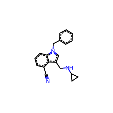 N#Cc1cccc2c1c(CNC1CC1)cn2Cc1ccccc1